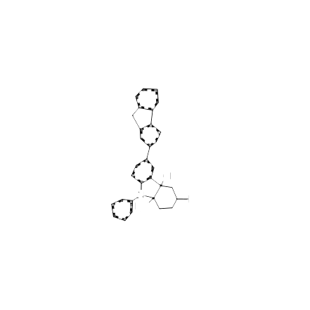 CCC1CCC2(C)N(c3ccccc3)c3ccc(-c4ccc5c(c4)Cc4ccccc4-5)cc3C2(C)C1